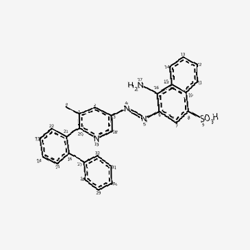 Cc1cc(N=Nc2cc(S(=O)(=O)O)c3ccccc3c2N)cnc1-c1ccccc1-c1ccccc1